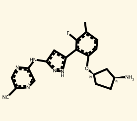 Cc1ccc(O[C@@H]2CC[C@H](N)C2)c(-c2cc(Nc3cnc(C#N)cn3)n[nH]2)c1F